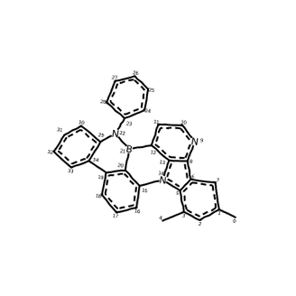 Cc1cc(C)c2c(c1)c1nccc3c1n2-c1cccc2c1B3N(c1ccccc1)c1ccccc1-2